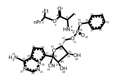 CCCC(CC)OC(=O)C(C)N[P@](=O)(OC[C@H]1O[C@@](C#N)(c2ccc3c(N)ncnn23)[C@H](O)[C@@H]1O)Oc1ccccc1